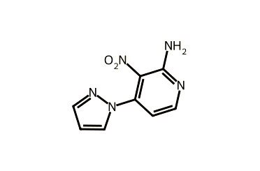 Nc1nccc(-n2cccn2)c1[N+](=O)[O-]